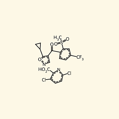 CS(=O)(=O)c1cc(C(F)(F)F)ccc1C(=O)c1cnoc1C1CC1.O=C(O)c1nc(Cl)ccc1Cl